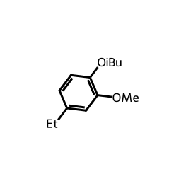 [CH2]Cc1ccc(OCC(C)C)c(OC)c1